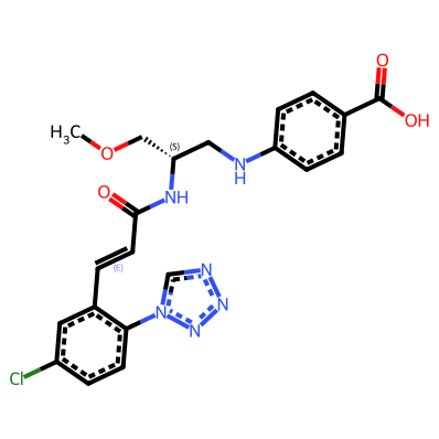 COC[C@H](CNc1ccc(C(=O)O)cc1)NC(=O)/C=C/c1cc(Cl)ccc1-n1cnnn1